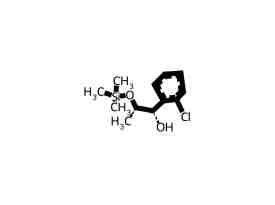 C[C@H](O[Si](C)(C)C)[C@@H](O)c1ccccc1Cl